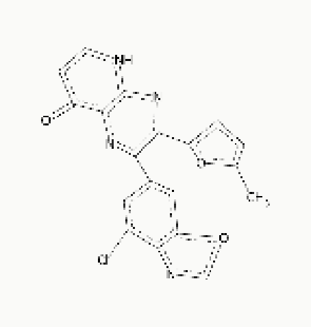 Cc1ccc(-c2nc3[nH]ccc(=O)c3nc2-c2cc(Cl)c3ncoc3c2)o1